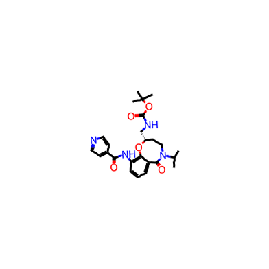 CC(C)N1CC[C@@H](CNC(=O)OC(C)(C)C)Oc2c(NC(=O)c3ccncc3)cccc2C1=O